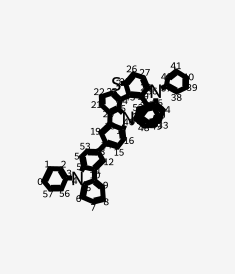 c1ccc(-n2c3ccccc3c3cc(-c4ccc5c(c4)c4ccc6sc7ccc8c(c9ccccc9n8-c8ccccc8)c7c6c4n5-c4ccccc4)ccc32)cc1